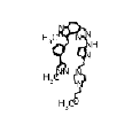 COCCN1CCN(CCn2ccc(Nc3ncc4c(n3)-c3c(nn(C)c3Cc3cccc(-c5cnn(C)c5)c3)CC4)n2)CC1